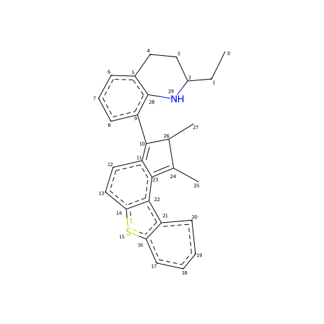 CCC1CCc2cccc(C3=c4ccc5sc6ccccc6c5c4=C(C)C3C)c2N1